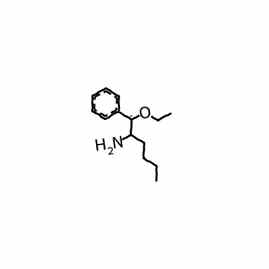 CCCCC(N)[C](OCC)c1ccccc1